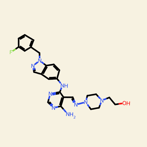 Nc1ncnc(Nc2ccc3c(cnn3Cc3cccc(F)c3)c2)c1C=NN1CCN(CCO)CC1